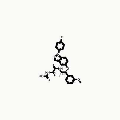 COc1cccc([C@H](Oc2ccc3c(cnn3-c3ccc(F)cc3)c2)[C@H](C)NC(=O)[C@@H](C)NC(=O)O)c1